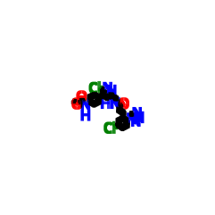 COC(=O)Nc1ccc(-c2cc(CNC(=O)/C=C/c3cc(Cl)ccc3-n3cnnn3)nnc2Cl)cc1